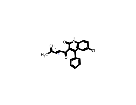 C=C(C)/C=C/C(=O)c1c(-c2ccccc2)c2cc(Cl)ccc2[nH]c1=O